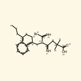 CCCC1=c2ccccc2=C(CN(C(=N)Br)C(=N)CC(C)(C)C(=O)O)CC1